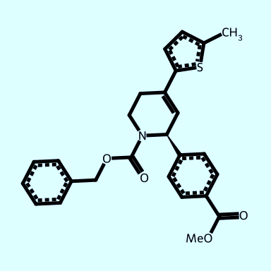 COC(=O)c1ccc([C@@H]2C=C(c3ccc(C)s3)CCN2C(=O)OCc2ccccc2)cc1